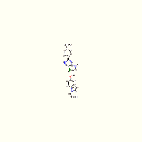 COc1ccc(-c2ncc(F)c(N(C)CCCOc3ccc4c(ccn4CC=O)c3)n2)cc1